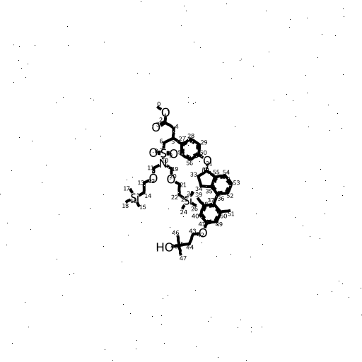 COC(=O)CC(CS(=O)(=O)N(COCC[Si](C)(C)C)COCC[Si](C)(C)C)c1ccc(O[C@@H]2CCc3c(-c4c(C)cc(OCCC(C)(C)O)cc4C)cccc32)cc1